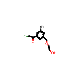 CC(C)(C)c1cc(COCCO)cc(C(=O)CCl)c1